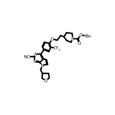 CC(C)(C)OC(=O)N1CCC(CCOc2ccc(-c3nc(C#N)nc4c3ccn4CC3CCOC3)cc2C(F)(F)F)CC1